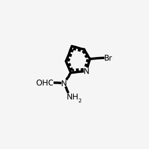 NN(C=O)c1cccc(Br)n1